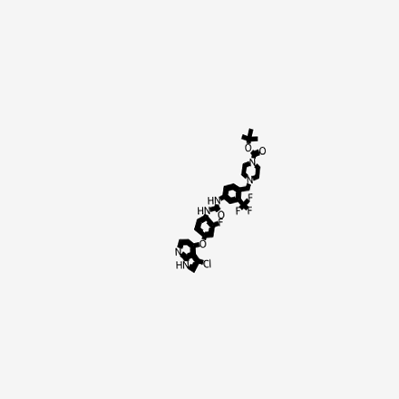 CC(C)(C)OC(=O)N1CCN(Cc2ccc(NC(=O)Nc3ccc(Oc4ccnc5[nH]cc(Cl)c45)cc3F)cc2C(F)(F)F)CC1